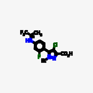 CCn1nc(C(=O)O)c(Cl)c1-c1ccc(N[C@H](C)C(F)(F)F)cc1F